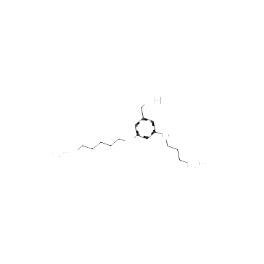 CCCCCCCCCCCCCCCOc1cc(CO)cc(OCCCCCCCCCCCCC)c1